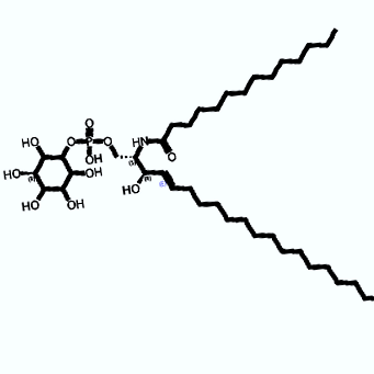 CCCCCCCCCCCCCCC/C=C/[C@@H](O)[C@H](COP(=O)(O)OC1C(O)C(O)C(O)[C@@H](O)C1O)NC(=O)CCCCCCCCCCCCC